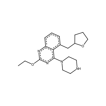 CCOc1nc(N2CCNCC2)c2c(CC3CCCO3)cccc2n1